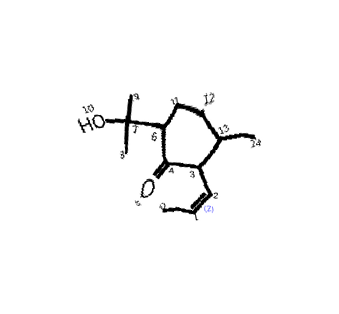 C/C=C\C1C(=O)C(C(C)(C)O)CCC1C